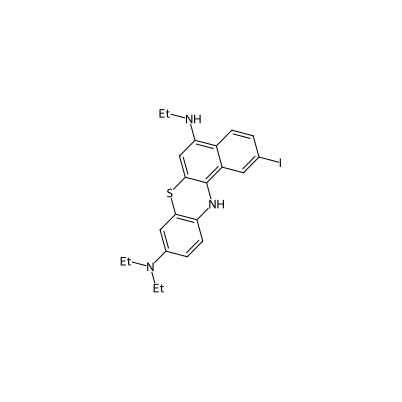 CCNc1cc2c(c3cc(I)ccc13)Nc1ccc(N(CC)CC)cc1S2